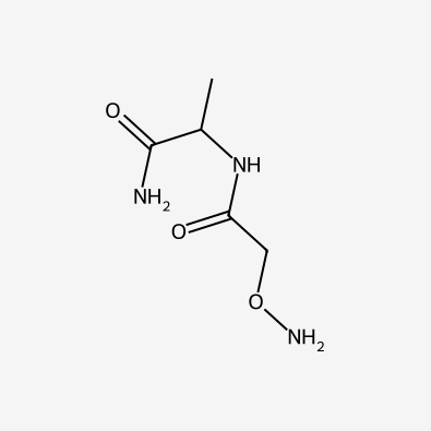 CC(NC(=O)CON)C(N)=O